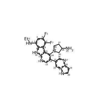 CCNc1cc(F)c(F)c2c1[nH]c1ncc(-c3cnc4ccnn4c3)c(N3CCC(N)C3)c12